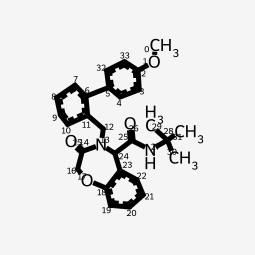 COc1ccc(-c2ccccc2CN2C(=O)COc3ccccc3C2C(=O)NC(C)(C)C)cc1